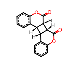 O=C1Oc2ccccc2[C@@H]2[C@H]1[C@@H]1C(=O)Oc3ccccc3[C@@H]12